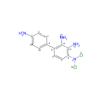 Nc1ccc(-c2ccc(N(Cl)Cl)c(N)c2N)cc1